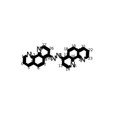 c1cnc2c(c1)ccc1c(N=Nc3ccnc4c3ccc3cccnc34)ccnc12